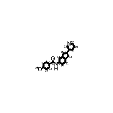 COc1ccc(C(=O)Nc2ccc3c(c2)C=C(c2cccnc2)C3)cc1